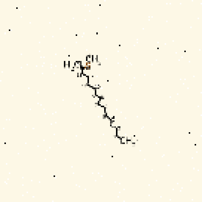 [CH2]CCCCCCCCCCCCCC(=C)SC